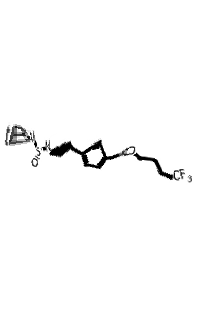 CC(C)(C)[S+]([O-])N=Cc1ccc(OCCCC(F)(F)F)cc1